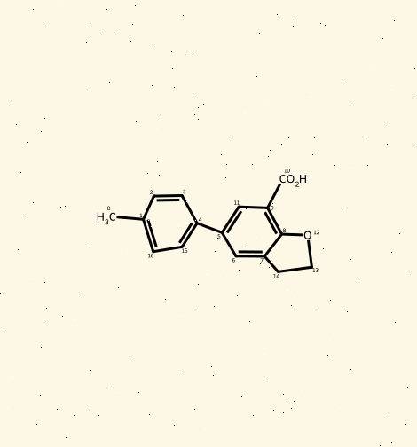 Cc1ccc(-c2cc3c(c(C(=O)O)c2)OCC3)cc1